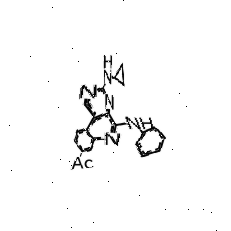 CC(=O)c1ccc2c(c1)nc(Nc1ccccc1)c1nc(NC3CC3)ncc12